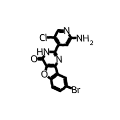 Nc1cc(-c2nc3c(oc4ccc(Br)cc43)c(=O)[nH]2)c(Cl)cn1